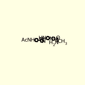 CC(=O)Nc1ccc(-c2ccnc(Nc3ccc(N4CCN(C(=O)C(C)N)CC4)cc3)n2)cc1